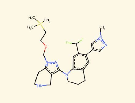 Cn1cc(-c2cc3c(cc2C(F)F)N(c2nn(COCCS(C)(C)C)c4c2CNCC4)CCC3)cn1